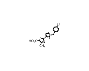 Cc1nc(-c2ccn(Cc3ccc(Cl)cc3)n2)sc1C(=O)O